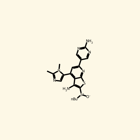 CCCC[S+]([O-])c1sc2nc(-c3cnc(N)nc3)cc(-c3cnc(C)n3C)c2c1N